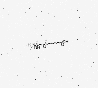 N=C(N)NCCCCC(=O)NCCCCCCCCCCC(=O)O